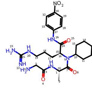 C[C@H](NC(=O)CN)C(=O)N(C1CCCCC1)[C@@H](CCCNC(=N)N)C(=O)Nc1ccc([N+](=O)[O-])cc1